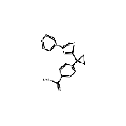 CNC(=O)c1ccc(C2(c3nc(-c4ccncc4)cs3)CC2)cc1